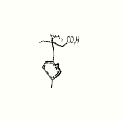 Cc1ccc(C(C)(N)CC(=O)O)cc1